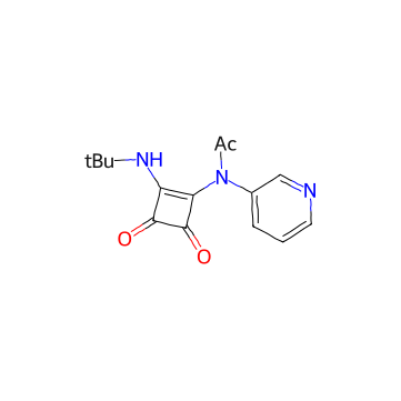 CC(=O)N(c1cccnc1)c1c(NC(C)(C)C)c(=O)c1=O